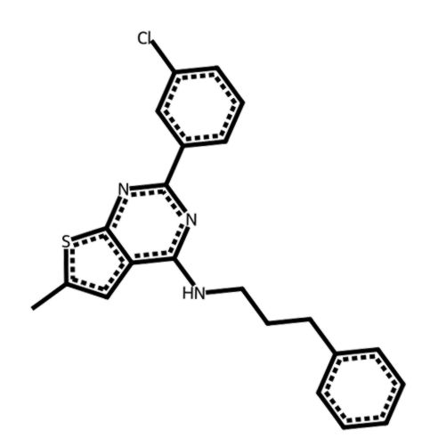 Cc1cc2c(NCCCc3ccccc3)nc(-c3cccc(Cl)c3)nc2s1